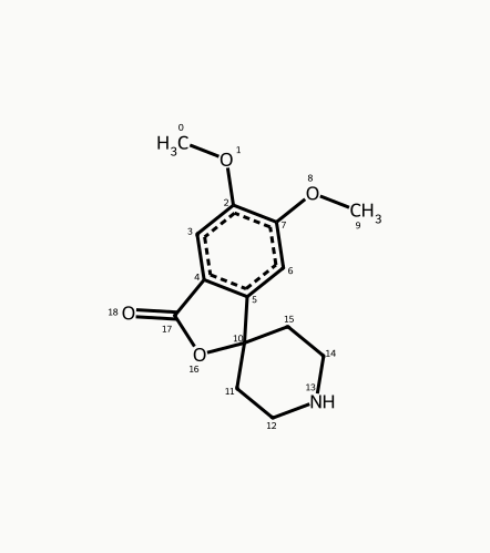 COc1cc2c(cc1OC)C1(CCNCC1)OC2=O